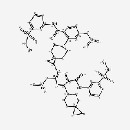 CC(C)(C)NS(=O)(=O)c1cccc(NC(=O)c2cc(C3CC34CCN(c3cc(C[SH](=O)=O)ccc3C(=O)Nc3cccc(S(=O)(=O)NC(C)(C)C)c3)CC4)c(C[SH](=O)=O)cc2N2CCC3(CC2)CC3)c1